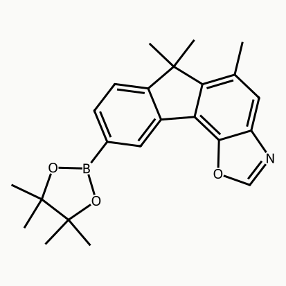 Cc1cc2ncoc2c2c1C(C)(C)c1ccc(B3OC(C)(C)C(C)(C)O3)cc1-2